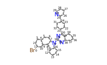 Brc1ccc2ccc3c(c2c1)c1ccccc1n3-c1nc(-c2ccc(-c3ccccn3)cc2)c2ccccc2n1